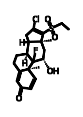 CCS(=O)(=O)C1=C(Cl)C[C@H]2[C@@H]3CCC4=CC(=O)C=C[C@]4(C)C3(F)[C@@H](O)C[C@]12C